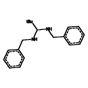 CC(C)(C)C(NCc1ccccc1)NCc1ccccc1